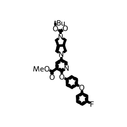 COC(=O)c1cc(N2C=C3CN(C(=O)OC(C)(C)C)CC3C2)cnc1Oc1ccc(Oc2cccc(F)c2)cc1